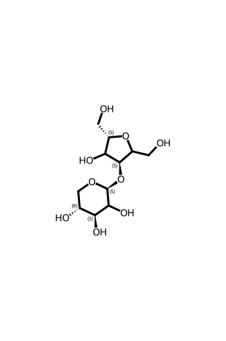 OCC1O[C@@H](CO)C(O)[C@@H]1O[C@@H]1OC[C@@H](O)[C@H](O)C1O